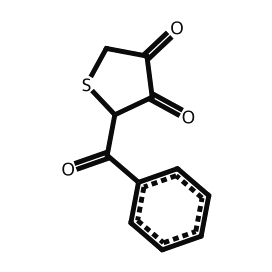 O=C1CSC(C(=O)c2ccccc2)C1=O